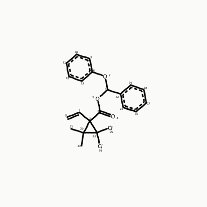 C=CC1(C(=O)OC(Oc2ccccc2)c2ccccc2)C(C)(C)C1(Cl)Cl